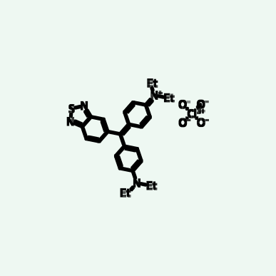 CCN(CC)c1ccc(C(=C2C=CC(=[N+](CC)CC)C=C2)c2ccc3nsnc3c2)cc1.[O-][Cl+3]([O-])([O-])[O-]